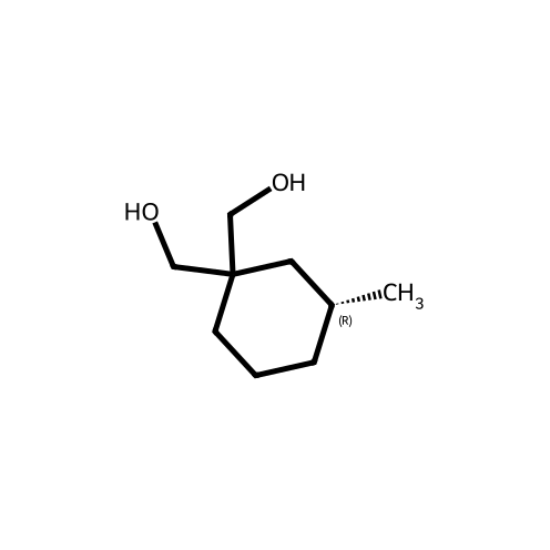 C[C@@H]1CCCC(CO)(CO)C1